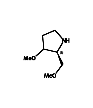 COC[C@@H]1NCCC1OC